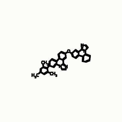 Cc1cc(C)c(-c2ccc3c4ccc(Oc5ccc6c7ccccc7n7ccnc7c6c5)cc4c4nccn4c3c2)c(C)c1